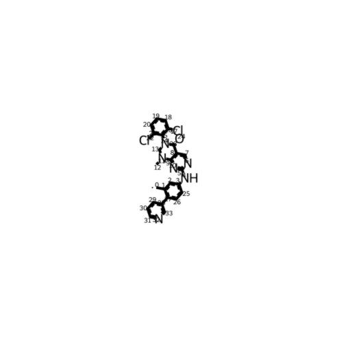 [CH2]c1cc(Nc2ncc3c(n2)N(C)CN(c2c(Cl)cccc2Cl)C3=O)ccc1-c1cccnc1